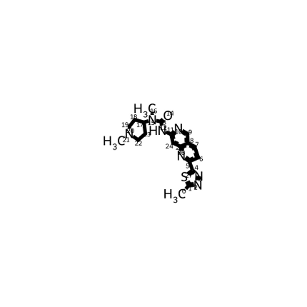 Cc1nnc(-c2ccc3cnc(NC(=O)N(C)C4CCN(C)CC4)cc3n2)s1